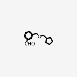 O=Cc1cccc(COCC2CCCC2)c1